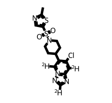 [2H]c1nc2c([2H])c(Cl)c(C3CCN(S(=O)(=O)c4cnc(C)s4)CC3)c([2H])n2n1